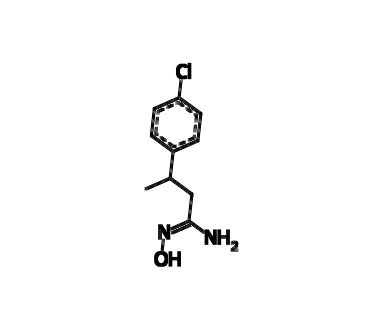 CC(CC(N)=NO)c1ccc(Cl)cc1